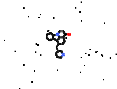 O=c1ccn2c3ccccc3c3c(Cc4cccnc4)ccc1c32